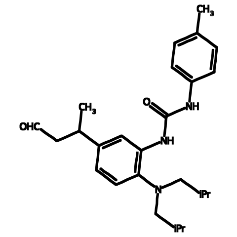 Cc1ccc(NC(=O)Nc2cc(C(C)CC=O)ccc2N(CC(C)C)CC(C)C)cc1